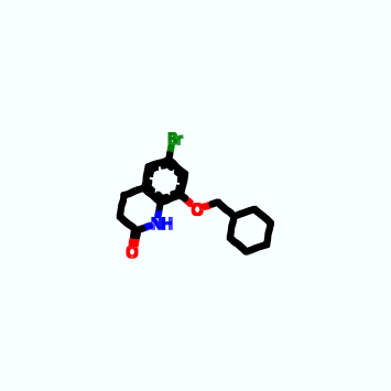 O=C1CCc2cc(Br)cc(OCC3CCCCC3)c2N1